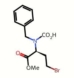 COC(=O)[C@H](CCBr)N(Cc1ccccc1)C(=O)O